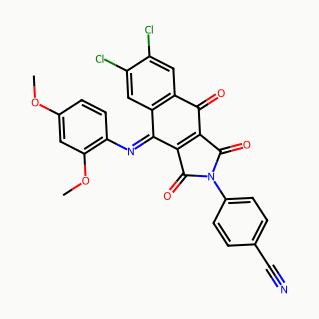 COc1ccc(N=c2c3c(=O)n(-c4ccc(C#N)cc4)c(=O)c=3c(=O)c3cc(Cl)c(Cl)cc23)c(OC)c1